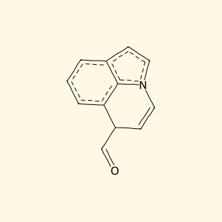 O=CC1C=Cn2ccc3cccc1c32